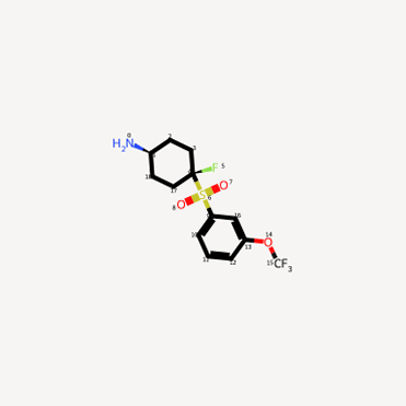 N[C@H]1CC[C@](F)(S(=O)(=O)c2cccc(OC(F)(F)F)c2)CC1